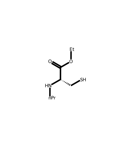 CCCN[C@@H](CS)C(=O)OCC